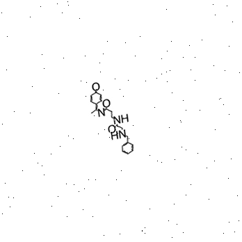 Cc1nc(CCNC(=O)CNCc2ccccc2)oc2cc(=O)ccc1-2